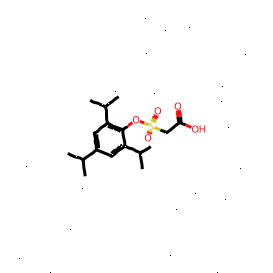 CC(C)c1cc(C(C)C)c(OS(=O)(=O)CC(=O)O)c(C(C)C)c1